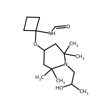 CC(O)CN1C(C)(C)CC(OC2(NC=O)CCC2)CC1(C)C